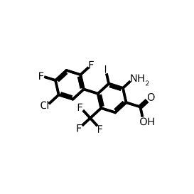 Nc1c(C(=O)O)cc(C(F)(F)F)c(-c2cc(Cl)c(F)cc2F)c1I